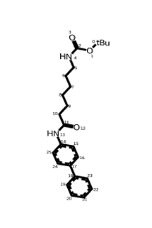 CC(C)(C)OC(=O)NCCCCCCC(=O)Nc1ccc(-c2ccccc2)cc1